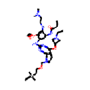 C=CC(=O)Nc1cc(Nc2nc(OC3CN(CC)C3)c3ccn(COCC[Si](C)(C)C)c3n2)c(OC)cc1N(C)CCN(C)C